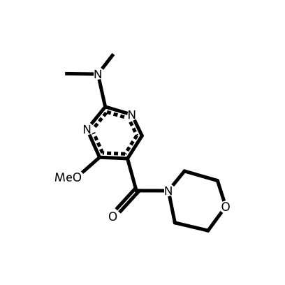 COc1nc(N(C)C)ncc1C(=O)N1CCOCC1